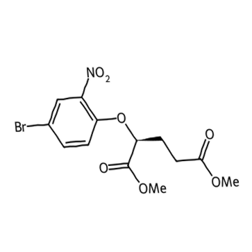 COC(=O)CC[C@H](Oc1ccc(Br)cc1[N+](=O)[O-])C(=O)OC